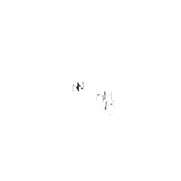 CCCCCCCCCCC(CCCCCCC(=O)OCCC[PH](c1ccccc1)(c1ccccc1)c1ccccc1)n1ccnc1